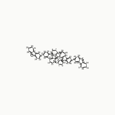 c1ccc([Si](c2ccccc2)(c2nccc3c2sc2ccc(-c4ccc5oc6ccccc6c5c4)cc23)c2nccc3c2sc2ccc(-c4ccc5sc6ccccc6c5c4)cc23)cc1